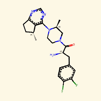 C[C@@H]1CCc2ncnc(N3CCN(C(=O)[C@H](N)Cc4ccc(F)c(F)c4)C[C@@H]3C)c21